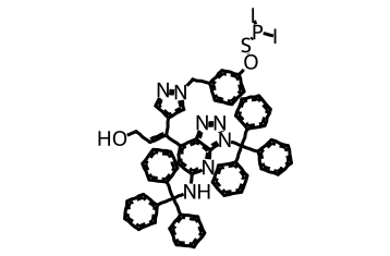 OC/C=C(\c1cnn(Cc2cccc(OSP(I)I)c2)c1)c1cc(NC(c2ccccc2)(c2ccccc2)c2ccccc2)nc2c1nnn2C(c1ccccc1)(c1ccccc1)c1ccccc1